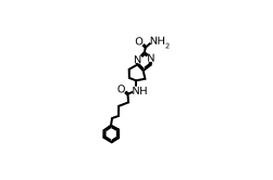 NC(=O)c1ncc2c(n1)CCC(NC(=O)CCCCc1ccccc1)C2